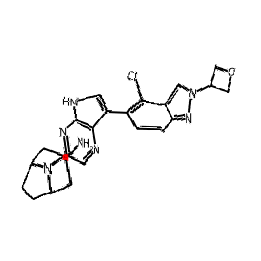 NC1CC2CCC(C1)N2c1cnc2c(-c3ccc4nn(C5COC5)cc4c3Cl)c[nH]c2n1